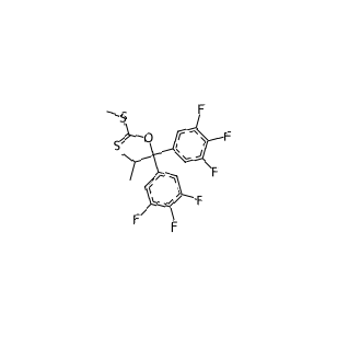 CSC(=S)OC(c1cc(F)c(F)c(F)c1)(c1cc(F)c(F)c(F)c1)C(C)C